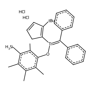 Cc1c(C)c([SiH3])c(C)c([O][Ti]([C]2=C(C(C)(C)C)C=CC2)=[C](c2ccccc2)c2ccccc2)c1C.Cl.Cl